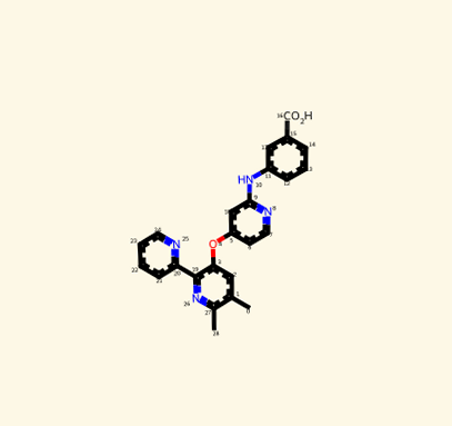 Cc1cc(Oc2ccnc(Nc3cccc(C(=O)O)c3)c2)c(-c2ccccn2)nc1C